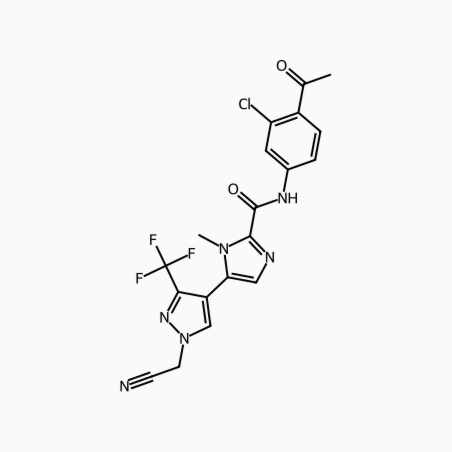 CC(=O)c1ccc(NC(=O)c2ncc(-c3cn(CC#N)nc3C(F)(F)F)n2C)cc1Cl